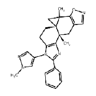 Cn1cc(-n2c(-c3ccccc3)nc3c2CC[C@@]24CC2(C)c2oncc2C[C@]34C)cn1